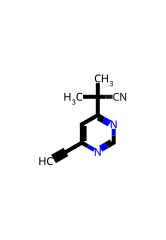 C#Cc1cc(C(C)(C)C#N)ncn1